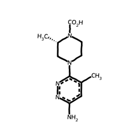 Cc1cc(N)nnc1N1CCN(C(=O)O)[C@@H](C)C1